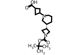 CC(C)(C)OC(=O)N1CC([C@H]2CCCN(C3CC(C(=O)O)C3)C2)C1